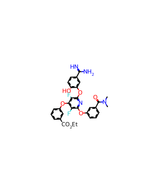 CCOC(=O)c1cccc(Oc2c(F)c(Oc3cccc(C(=O)N(C)C)c3)nc(Oc3cc(C(=N)N)ccc3O)c2F)c1